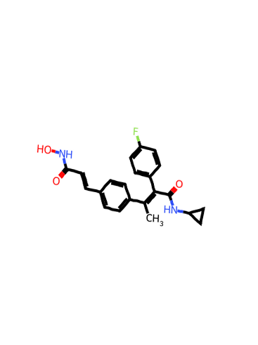 CC(=C(C(=O)NC1CC1)c1ccc(F)cc1)c1ccc(C=CC(=O)NO)cc1